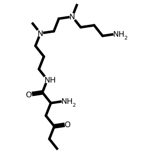 CCC(=O)CC(N)C(=O)NCCCN(C)CCN(C)CCCN